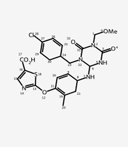 COCN1C(=O)NC(NC2C=CC(Oc3ncc(C(=O)O)s3)=C(C)C2)N(CC2C=CC(Cl)=CC2)C1=O